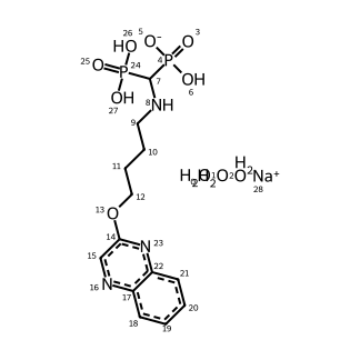 O.O.O.O=P([O-])(O)C(NCCCCOc1cnc2ccccc2n1)P(=O)(O)O.[Na+]